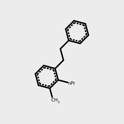 CCCc1c(C)cccc1CCc1ccccc1